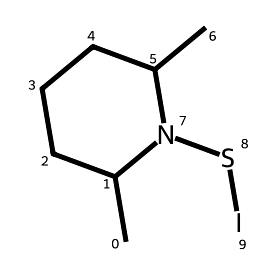 CC1CCCC(C)N1SI